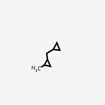 C[C]1CC1CC1CC1